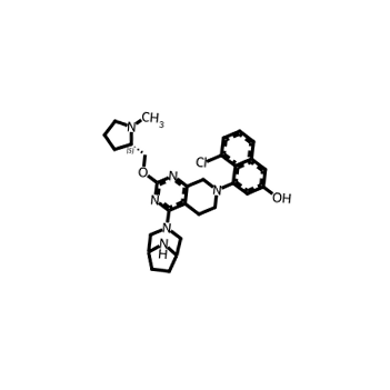 CN1CCC[C@H]1COc1nc2c(c(N3CC4CCC(C3)N4)n1)CCN(c1cc(O)cc3cccc(Cl)c13)C2